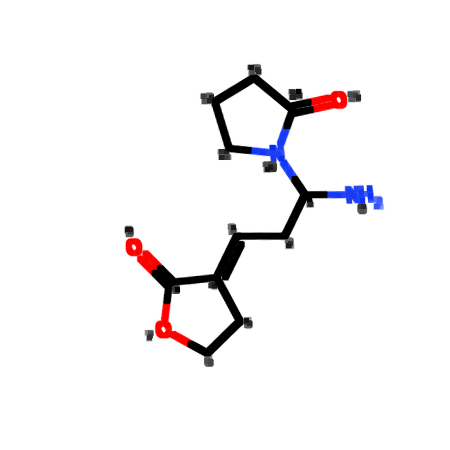 NC(C/C=C1\CCOC1=O)N1CCCC1=O